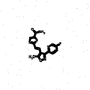 Cc1onc(-c2ccc(F)cn2)c1C=Cc1ncc(C(N)=O)s1